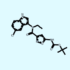 CCN(C(=O)c1cc(NC(=O)OC(C)(C)C)on1)c1c[nH]c2ccc(Cl)cc12